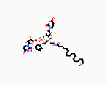 CC/C=C\C/C=C\C/C=C\C/C=C\C/C=C\CCCC(=O)NCCN(C)CCN(c1ccccc1)P(=O)(OC[C@H]1O[C@@H](n2ccc(=O)[nH]c2=O)[C@](C)(F)[C@@H]1O)OC[C@H]1O[C@@H](n2ccc(=O)[nH]c2=O)[C@](C)(F)[C@@H]1O